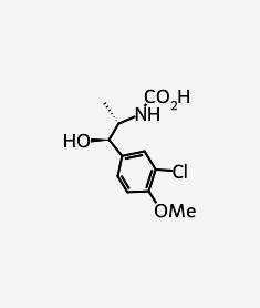 COc1ccc([C@@H](O)[C@H](C)NC(=O)O)cc1Cl